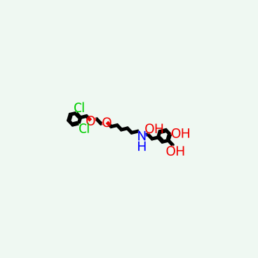 OCc1cc(CC(O)NCCCCCCOCCOCc2c(Cl)cccc2Cl)ccc1O